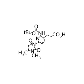 Cc1cc(=O)n(-c2ccc(CCC(=O)O)c(NC(=O)OC(C)(C)C)n2)c(=O)n1C